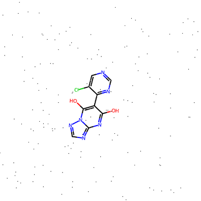 Oc1nc2ncnn2c(O)c1-c1ncncc1Cl